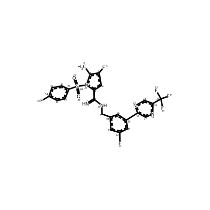 Cc1c(F)cc(C(=N)NCc2cc(F)cc(-c3cnc(C(F)(F)F)cn3)c2)n1S(=O)(=O)c1ccc(F)cc1